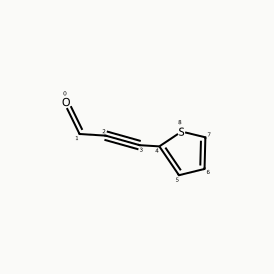 O=CC#Cc1cccs1